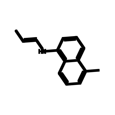 CC=CNc1cccc2c(C)cccc12